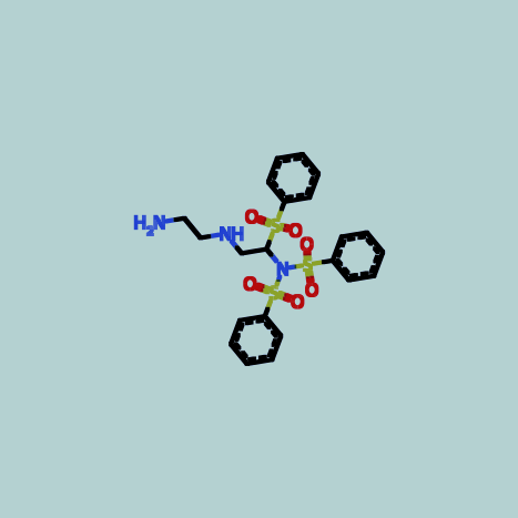 NCCNCC(N(S(=O)(=O)c1ccccc1)S(=O)(=O)c1ccccc1)S(=O)(=O)c1ccccc1